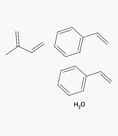 C=CC(=C)C.C=Cc1ccccc1.C=Cc1ccccc1.O